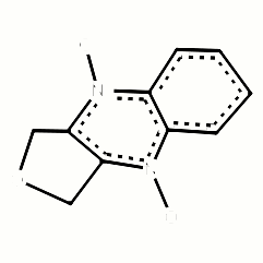 [O-][n+]1c2c([n+]([O-])c3ccccc31)COC2